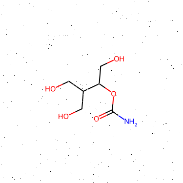 NC(=O)OC(CO)C(CO)CO